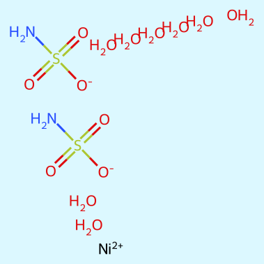 NS(=O)(=O)[O-].NS(=O)(=O)[O-].O.O.O.O.O.O.O.O.[Ni+2]